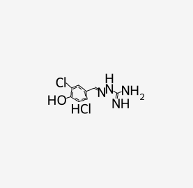 Cl.N=C(N)NN=Cc1ccc(O)c(Cl)c1